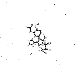 COc1cc2c(cc1CC(C)C)-n1c(-c3ccsc3)nc(C(=O)N(C)C(C)(C)C)c1CC2